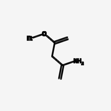 C=C(N)CC(=C)OCC